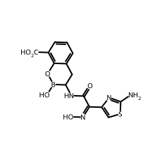 Nc1nc(C(=NO)C(=O)NC2Cc3cccc(C(=O)O)c3OB2O)cs1